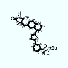 CC(C)(C)NS(=O)(=O)c1cccc(-c2ccc(-c3ccnc4ccc(C=C5SC(=O)NC5=O)cc34)s2)c1